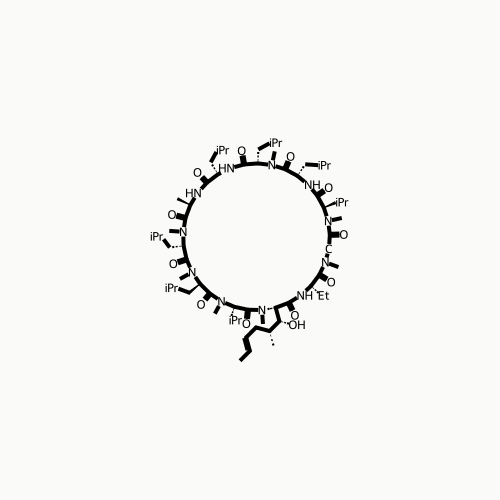 C/C=C/C[C@@H](C)[C@@H](O)[C@H]1C(=O)N[C@@H](CC)C(=O)N(C)CC(=O)N(C)[C@H](C(C)C)C(=O)N[C@@H](CC(C)C)C(=O)N(C)[C@@H](CC(C)C)C(=O)N[C@@H](CC(C)C)C(=O)N[C@H](C)C(=O)N(C)[C@@H](CC(C)C)C(=O)N(C)[C@H](CC(C)C)C(=O)N(C)[C@@H](C(C)C)C(=O)N1C